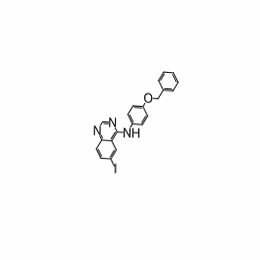 Ic1ccc2ncnc(Nc3ccc(OCc4ccccc4)cc3)c2c1